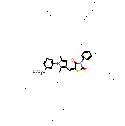 CCOC(=O)c1cccc(-n2c(C)cc(C=C3SC(=O)N(c4ccccc4)C3=O)c2C)c1